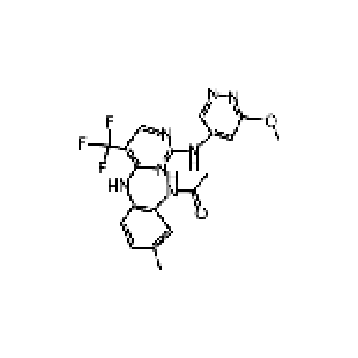 COc1cc(Nc2ncc(C(F)(F)F)c(Nc3ccc(C)cc3NC(C)=O)n2)cnn1